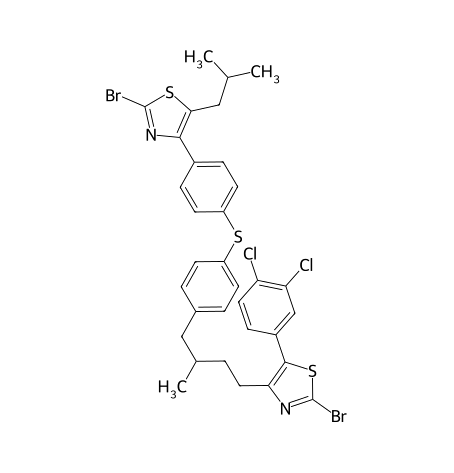 CC(C)Cc1sc(Br)nc1-c1ccc(Sc2ccc(CC(C)CCc3nc(Br)sc3-c3ccc(Cl)c(Cl)c3)cc2)cc1